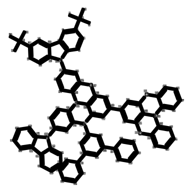 CC(C)(C)c1ccc2c(c1)c1cc(C(C)(C)C)ccc1n2-c1ccc2c(c1)Oc1cc(-c3cc4c5c(c3)Oc3ccccc3B5c3ccccc3O4)cc3c1B2c1ccc(-n2c4ccccc4c4ccccc42)cc1N3c1cc(-c2ccccc2)cc(-c2ccccc2)c1